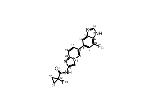 O=C(Nc1cn2cc(-c3cc(F)c4[nH]cnc4c3)ccc2n1)C1(F)CC1